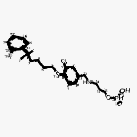 CC(C)(CCCCSc1ccc(CNCCCO[PH](=O)O)cc1Cl)c1ccccc1F